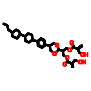 C=C(CO)C(=O)OCC(COC(=O)C(=C)CO)C1OCC(c2ccc(C3CCC(C4CCC(CCC)CC4)CC3)cc2)CO1